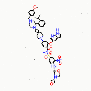 COc1ccc(CN2CCN(C3CC4(CCN(c5ccc(C(=O)NS(=O)(=O)c6ccc(NC[C@H]7CN(C8COC8)CCO7)c([N+](=O)[O-])c6)c(Oc6cnc7[nH]ccc7c6)c5)CC4)C3)[C@H](c3ccccc3C(C)C)C2)cc1